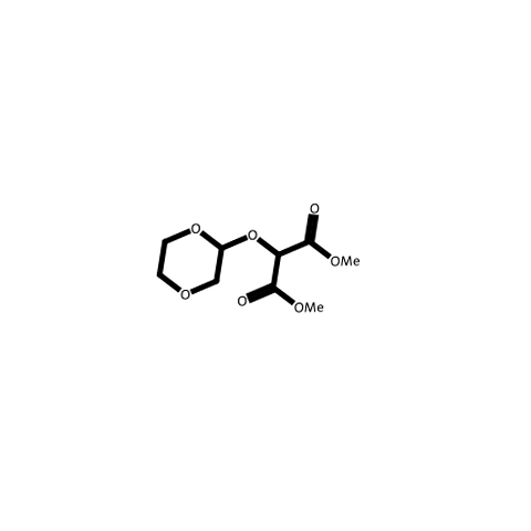 COC(=O)C(OC1COCCO1)C(=O)OC